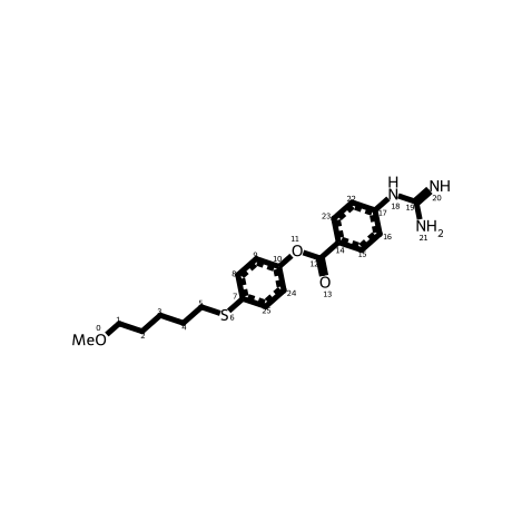 COCCCCCSc1ccc(OC(=O)c2ccc(NC(=N)N)cc2)cc1